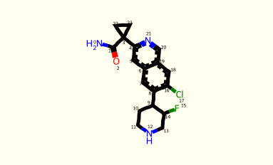 NC(=O)C1(c2cc3cc(C4CCNCC4F)c(Cl)cc3cn2)CC1